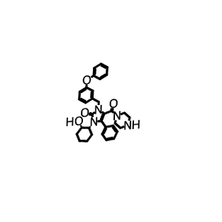 O=C(c1c(-c2ccccc2)n([C@H]2CCCC[C@H]2O)c(=O)n1Cc1cccc(Oc2ccccc2)c1)N1CCNCC1